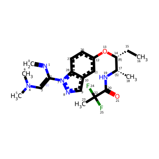 C=N/C(=C\N(C)C)n1ncc2cc(O[C@H](CC)[C@H](C)NC(=O)C(C)(F)F)ccc21